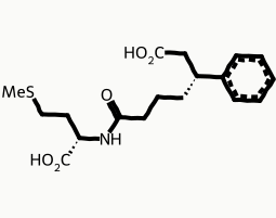 CSCC[C@H](NC(=O)CCC[C@H](CC(=O)O)c1ccccc1)C(=O)O